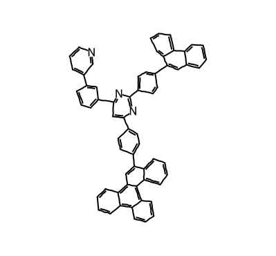 c1cncc(-c2cccc(-c3cc(-c4ccc(-c5cc6c7ccccc7c7ccccc7c6c6ccccc56)cc4)nc(-c4ccc(-c5cc6ccccc6c6ccccc56)cc4)n3)c2)c1